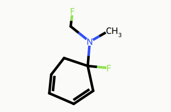 CN(CF)C1(F)C=CC=CC1